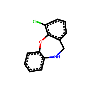 Clc1cccc2c1Oc1ccccc1NC2